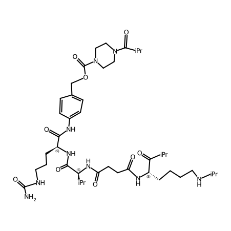 CC(C)NCCCC[C@H](NC(=O)CCC(=O)N[C@H](C(=O)N[C@@H](CCCNC(N)=O)C(=O)Nc1ccc(COC(=O)N2CCN(C(=O)C(C)C)CC2)cc1)C(C)C)C(=O)C(C)C